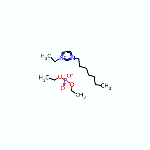 CCCCCCCn1cc[n+](CC)c1.CCOP(=O)([O-])OCC